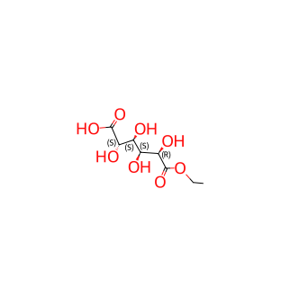 CCOC(=O)[C@H](O)[C@@H](O)[C@H](O)[C@H](O)C(=O)O